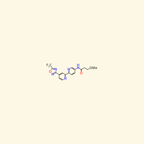 COCCC(=O)Nc1ccc(-c2cc(-c3noc(C(F)(F)F)n3)ccn2)nc1